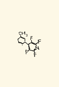 CC1=CC(c2c(F)c(F)nc(F)c2F)[C]=CC1